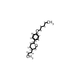 CCCCCOc1ccc(C2CCC(CCC)CO2)cc1